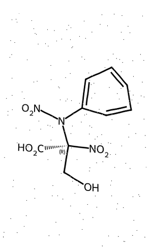 O=C(O)[C@](CO)(N(c1ccccc1)[N+](=O)[O-])[N+](=O)[O-]